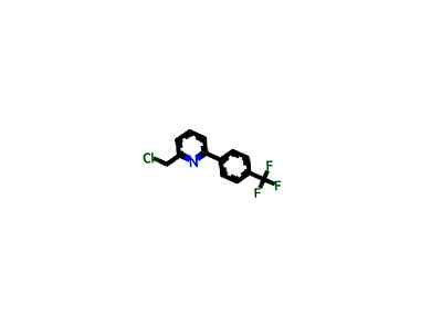 FC(F)(F)c1ccc(-c2cccc(CCl)n2)cc1